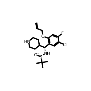 C=CCOc1cc(F)c(Cl)cc1[C@H](N[S+]([O-])C(C)(C)C)C1CCNCC1